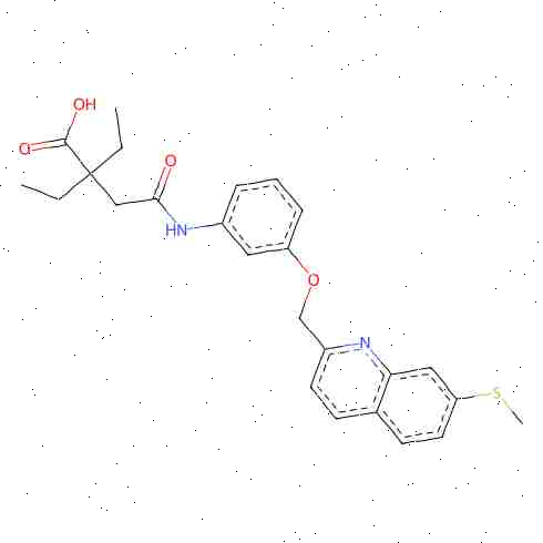 CCC(CC)(CC(=O)Nc1cccc(OCc2ccc3ccc(SC)cc3n2)c1)C(=O)O